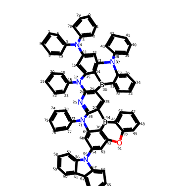 c1ccc(N(c2ccccc2)c2cc3c4c(c2)N(c2ccccc2)c2nc5c(cc2B4c2ccccc2N3c2ccccc2)B2c3ccccc3Oc3cc(-n4c6ccccc6c6ccccc64)cc(c32)N5c2ccccc2)cc1